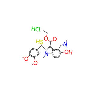 CCOC(=O)c1c(C(S)c2ccc(OC)c(OC)c2)n(C)c2ccc(O)c(CN(C)C)c12.Cl